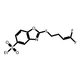 CCS(=O)(=O)c1ccc2oc(SCCC=C(F)F)nc2c1